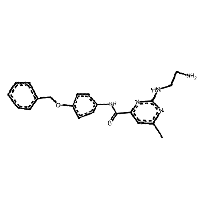 Cc1cc(C(=O)Nc2ccc(OCc3ccccc3)cc2)nc(NCCN)n1